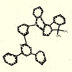 CC1(C)c2ccccc2-c2c1ccc1c2c2ccccc2n1-c1cccc(-c2nc(-c3ccccc3)cc(-c3ccccc3)n2)c1